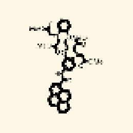 COC(=O)CN(CC(=O)OC)c1ccccc1OCCOc1cc(NC(=O)c2ccc3ccc4cccc5ccc2c3c45)ccc1N(CC(=O)OC)CC(=O)OC